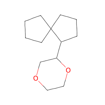 C1CCC2(C1)CCCC2C1COCCO1